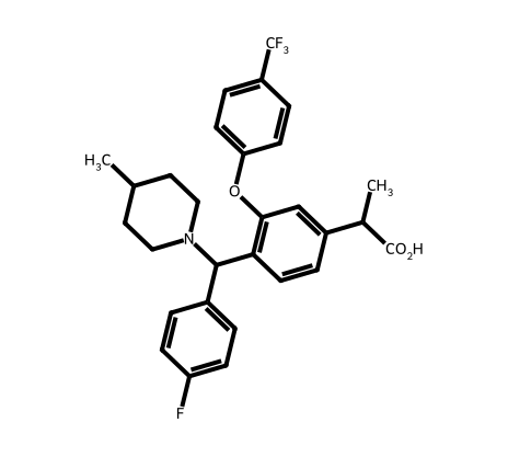 CC1CCN(C(c2ccc(F)cc2)c2ccc(C(C)C(=O)O)cc2Oc2ccc(C(F)(F)F)cc2)CC1